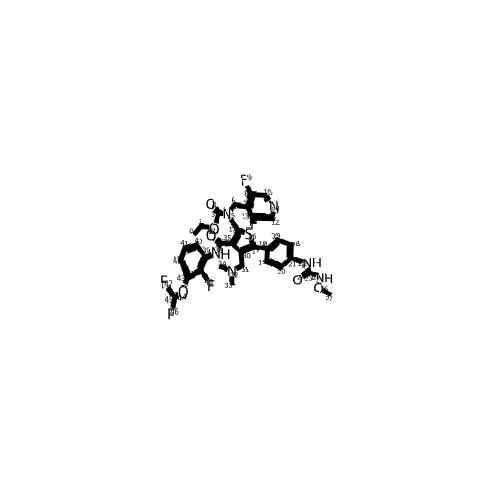 CCOC(=O)N(Cc1c(F)cncc1F)c1sc(-c2ccc(NC(=O)NOC)cc2)c(CN(C)C)c1C(=O)Nc1cccc(OC(F)F)c1F